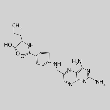 CCCC(NC(=O)c1ccc(NCc2cnc3nc(N)nc(N)c3n2)cc1)C(=O)O